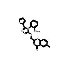 COc1ccccc1-n1c(SCc2nc(=O)c3cc(C)ccc3[nH]2)nnc1-c1cccs1